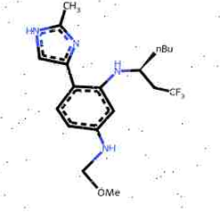 CCCC[C@@H](CC(F)(F)F)Nc1cc(NCOC)ccc1-c1c[nH]c(C)n1